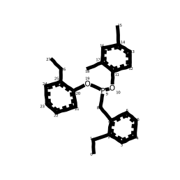 CCc1ccccc1CP(Oc1ccc(C)cc1C)Oc1ccccc1CC